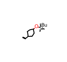 C=CC1CCC(O[Si](C)(C)C(C)(C)C)CC1